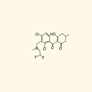 CC1CC(=O)C(C(=O)c2ccc(Cl)c(CN(C)CC(F)F)c2Cl)=C(O)C1